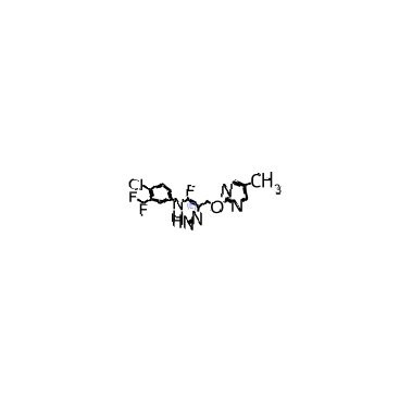 Cc1cnc(OC/C(N=N)=C(\F)Nc2ccc(Cl)c(C(F)F)c2)nc1